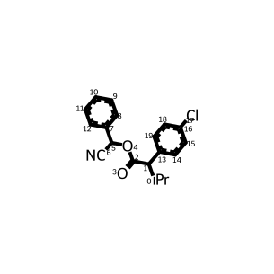 CC(C)C(C(=O)OC(C#N)c1ccccc1)c1ccc(Cl)cc1